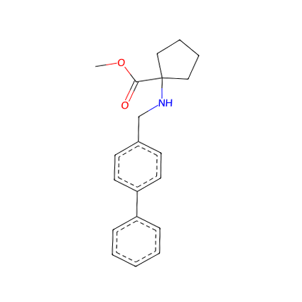 COC(=O)C1(NCc2ccc(-c3ccccc3)cc2)CCCC1